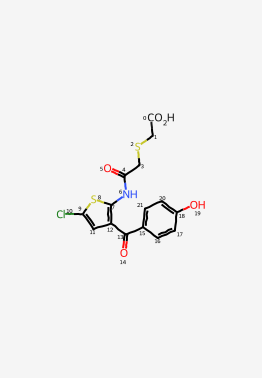 O=C(O)CSCC(=O)Nc1sc(Cl)cc1C(=O)c1ccc(O)cc1